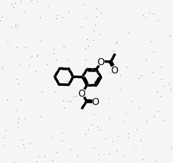 CC(=O)Oc1ccc(OC(C)=O)c(C2CCCCC2)c1